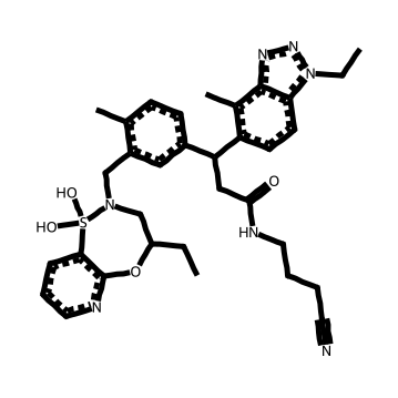 CCC1CN(Cc2cc(C(CC(=O)NCCCC#N)c3ccc4c(nnn4CC)c3C)ccc2C)S(O)(O)c2cccnc2O1